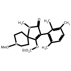 CCOC(=O)OC1=C(c2c(C)ccc(C)c2C)C(=O)N(C)C12CCN(OC)CC2